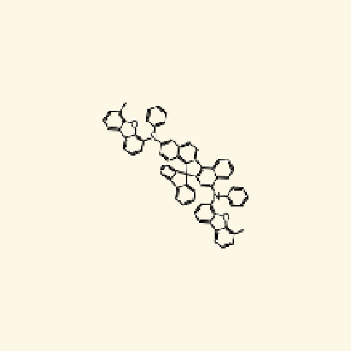 Cc1cccc2c1oc1c(N(c3ccccc3)c3ccc4c5c(ccc4c3)-c3c(cc(N(c4ccccc4)c4cccc6c4oc4c(C)cccc46)c4ccccc34)C53c4ccccc4-c4ccccc43)cccc12